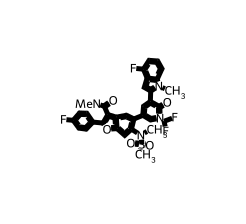 CNC(=O)c1c(-c2ccc(F)cc2)oc2cc(N(C)S(C)(=O)=O)c(-c3cc(-c4cc5c(F)cccc5n4C)c(=O)n(C(F)F)c3)cc12